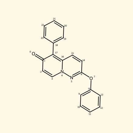 O=c1ccn2nc(Oc3ccccc3)ccc2c1-c1ccccc1